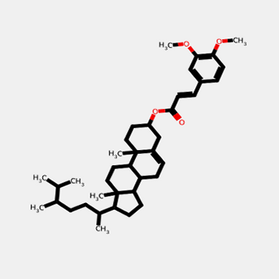 COc1ccc(/C=C/C(=O)OC2CCC3(C)C(=CCC4C3CCC3(C)C(C(C)CCC(C)C(C)C)CCC43)C2)cc1OC